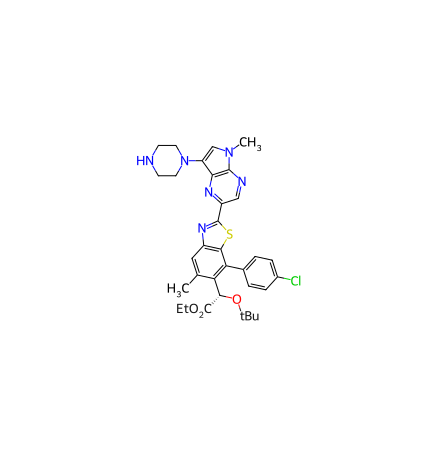 CCOC(=O)[C@@H](OC(C)(C)C)c1c(C)cc2nc(-c3cnc4c(n3)c(N3CCNCC3)cn4C)sc2c1-c1ccc(Cl)cc1